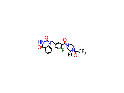 CCC1CN(C(=O)c2cc(Cn3c(=O)[nH]c(=O)c4ccccc43)ccc2F)CCN1C(=O)C(F)(F)F